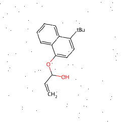 C=CC(O)Oc1ccc(C(C)(C)C)c2ccccc12